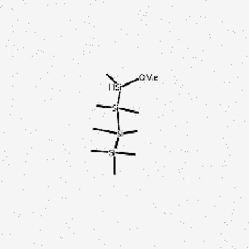 CO[SiH](C)[Si](C)(C)[Si](C)(C)[Si](C)(C)C